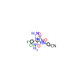 CC(C)(ON)C1CN(C(=O)Nc2ccc(C#N)cc2)Cc2c(C(N)=O)c(-c3ccc(F)c(Cl)c3)nn21